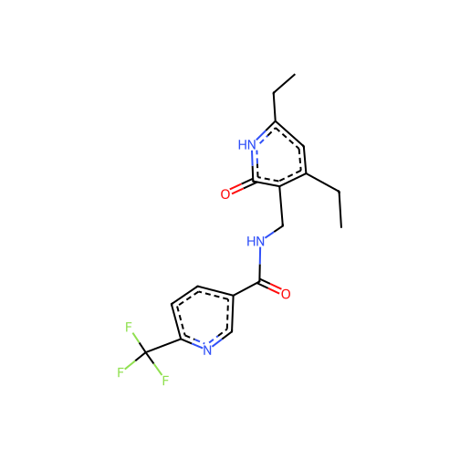 CCc1cc(CC)c(CNC(=O)c2ccc(C(F)(F)F)nc2)c(=O)[nH]1